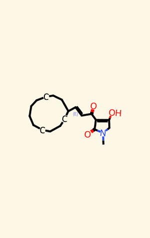 CN1CC(O)=C(C(=O)/C=C/C2CCCCCCCCCCC2)C1=O